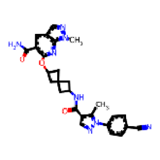 Cc1c(C(=O)NC2CC3(C2)CC(Oc2nc4c(cnn4C)cc2C(N)=O)C3)cnn1-c1ccc(C#N)cc1